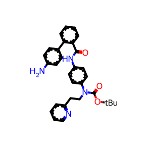 CC(C)(C)OC(=O)N(CCc1ccccn1)c1ccc(NC(=O)c2ccccc2-c2ccc(N)cc2)cc1